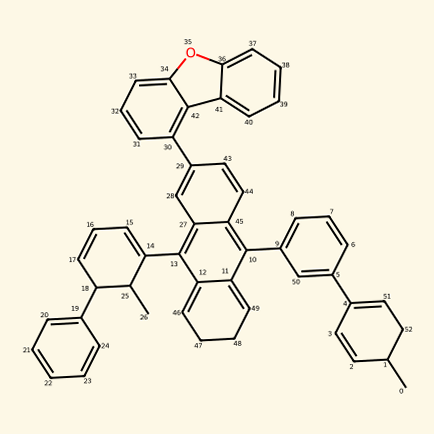 CC1C=CC(c2cccc(-c3c4c(c(C5=CC=CC(c6ccccc6)C5C)c5cc(-c6cccc7oc8ccccc8c67)ccc35)=CCCC=4)c2)=CC1